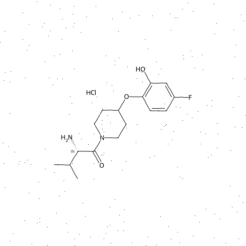 CC(C)[C@H](N)C(=O)N1CCC(Oc2ccc(F)cc2O)CC1.Cl